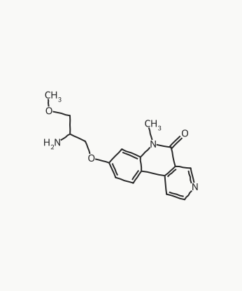 COCC(N)COc1ccc2c3ccncc3c(=O)n(C)c2c1